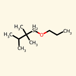 CCCO[SiH2]C(C)(C)C(C)C